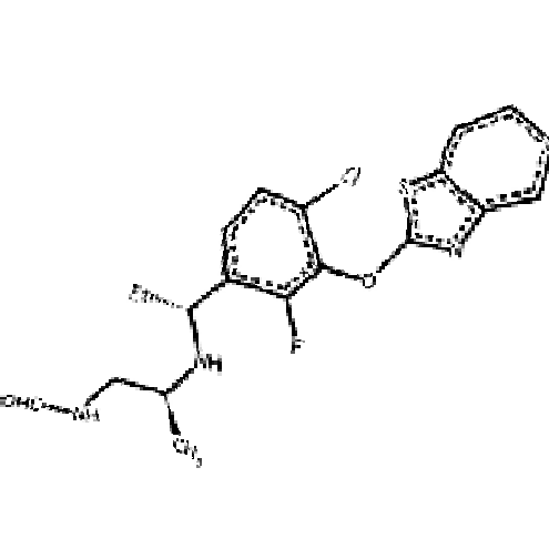 CC[C@@H](N[C@@H](C)CNC=O)c1ccc(Cl)c(Oc2nc3cnccc3s2)c1F